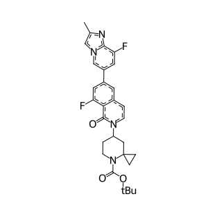 Cc1cn2cc(-c3cc(F)c4c(=O)n(C5CCN(C(=O)OC(C)(C)C)C6(CC6)C5)ccc4c3)cc(F)c2n1